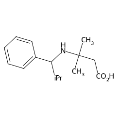 CC(C)C(NC(C)(C)CC(=O)O)c1ccccc1